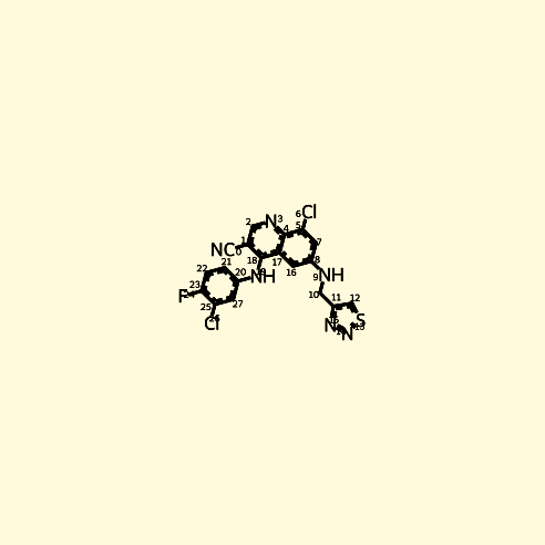 N#Cc1cnc2c(Cl)cc(NCc3csnn3)cc2c1Nc1ccc(F)c(Cl)c1